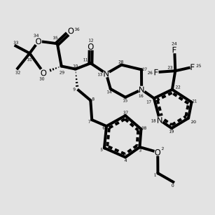 CCOc1ccc(CCC[C@@H](C(=O)N2CCN(c3ncccc3C(F)(F)F)CC2)[C@@H]2OC(C)(C)OC2=O)cc1